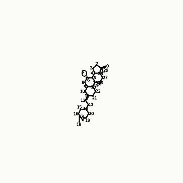 C=C1CCC2C3C(=O)CC4C/C(=C/CC5CCN(C)CC5)CC[C@]4(C)C3CC[C@]12C